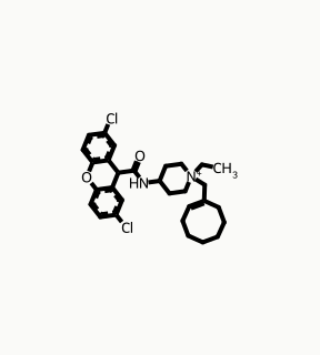 CC[N+]1(CC2=CCCCCCC2)CCC(NC(=O)C2c3cc(Cl)ccc3Oc3ccc(Cl)cc32)CC1